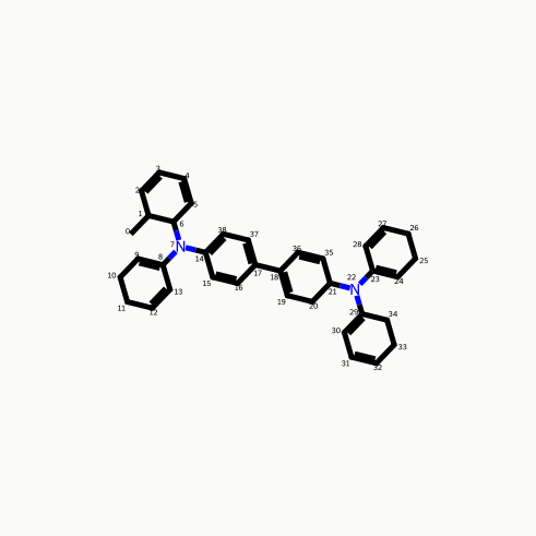 CC1C=CC=CC1N(C1=CCCC=C1)c1ccc(C2=CCC(N(C3=CCCC=C3)C3=CC=CCC3)C=C2)cc1